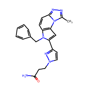 Cc1nnc2ccc3c(cc(-c4ccn(CCC(N)=O)n4)n3Cc3ccccc3)n12